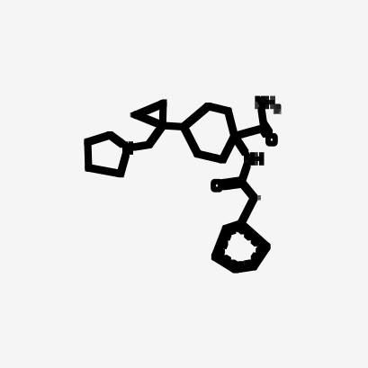 NC(=O)C1(NC(=O)[CH]c2ccccc2)CCC(C2(CN3CCCC3)CC2)CC1